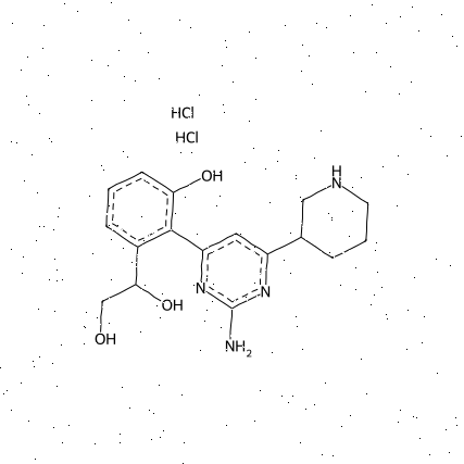 Cl.Cl.Nc1nc(-c2c(O)cccc2C(O)CO)cc(C2CCCNC2)n1